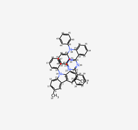 Cc1ccc2c(c1)c1cc(C)ccc1n2-c1ccccc1-c1nc(-c2ccccc2)nc(-c2ccccc2N(c2ccccc2)c2ccccc2)n1